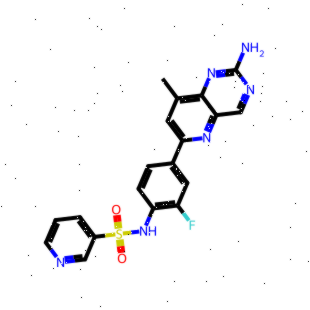 Cc1cc(-c2ccc(NS(=O)(=O)c3cccnc3)c(F)c2)nc2cnc(N)nc12